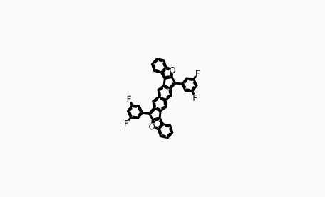 Fc1cc(F)cc(C2=c3cc4cc5c(cc4cc3-c3c2oc2ccccc32)=C(c2cc(F)cc(F)c2)c2oc3ccccc3c2-5)c1